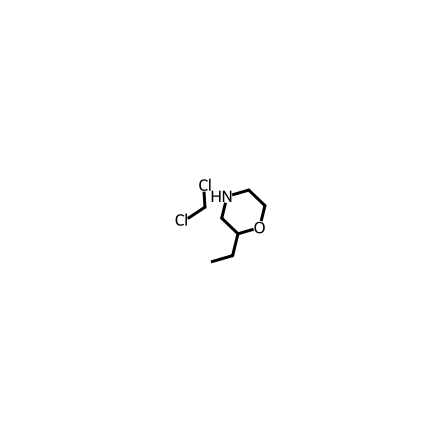 CCC1CNCCO1.ClCCl